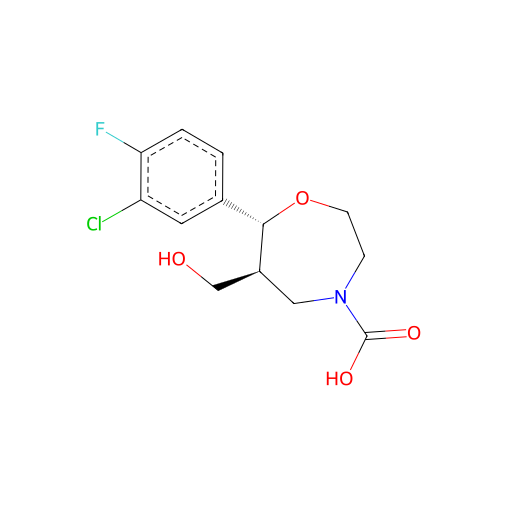 O=C(O)N1CCO[C@@H](c2ccc(F)c(Cl)c2)[C@H](CO)C1